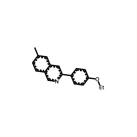 CCOc1ccc(-c2cc3cc(C)ccc3cn2)cc1